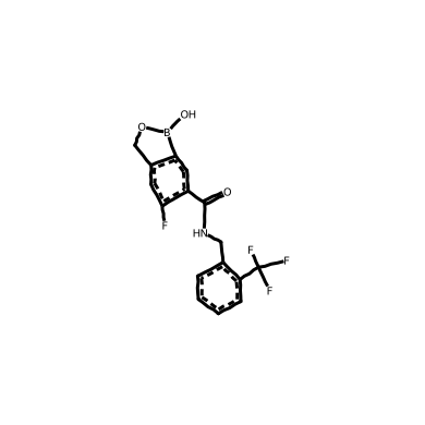 O=C(NCc1ccccc1C(F)(F)F)c1cc2c(cc1F)COB2O